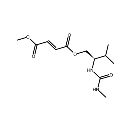 CNC(=O)N[C@@H](COC(=O)/C=C/C(=O)OC)C(C)C